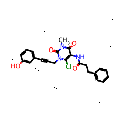 Cn1c(=O)c(NC(=O)CCc2ccccc2)c(Cl)n(CC#Cc2cccc(O)c2)c1=O